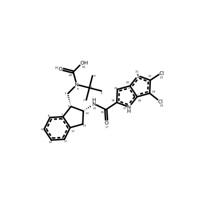 CC(C)(C)N(C[C@H]1c2ccccc2C[C@H]1NC(=O)c1cc2sc(Cl)c(Cl)c2[nH]1)C(=O)O